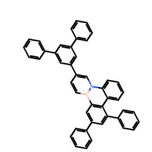 C1=CC(c2cc(-c3ccccc3)cc(-c3ccccc3)c2)=CN2B1c1cc(-c3ccccc3)cc(-c3ccccc3)c1-c1ccccc12